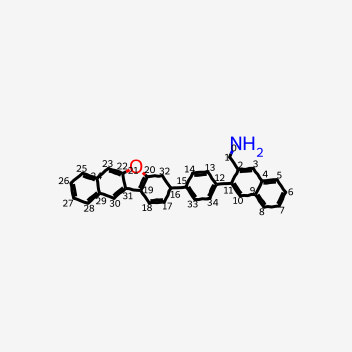 NCc1cc2ccccc2cc1-c1ccc(C2C=Cc3c(oc4cc5ccccc5cc34)C2)cc1